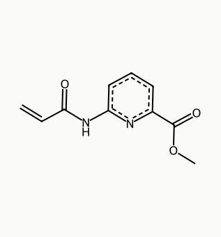 C=CC(=O)Nc1cccc(C(=O)OC)n1